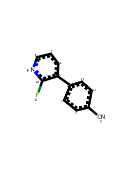 N#Cc1ccc(-c2cccnc2F)cc1